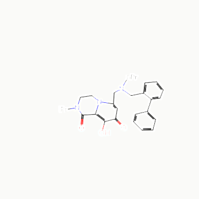 CCCN(Cc1ccccc1-c1ccccc1)Cc1cc(=O)c(O)c2n1CCN(C(C)C)C2=O